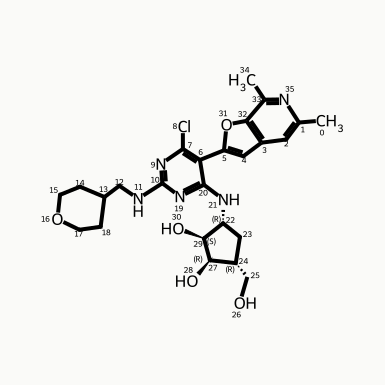 Cc1cc2cc(-c3c(Cl)nc(NCC4CCOCC4)nc3N[C@@H]3C[C@H](CO)[C@@H](O)[C@H]3O)oc2c(C)n1